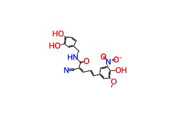 COc1cc(C=CC=C(C#N)C(=O)NCc2ccc(O)c(O)c2)cc([N+](=O)[O-])c1O